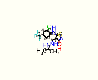 CC(C)NNCc1c(O)nsc1Nc1ccc(C(F)(F)F)cc1Cl